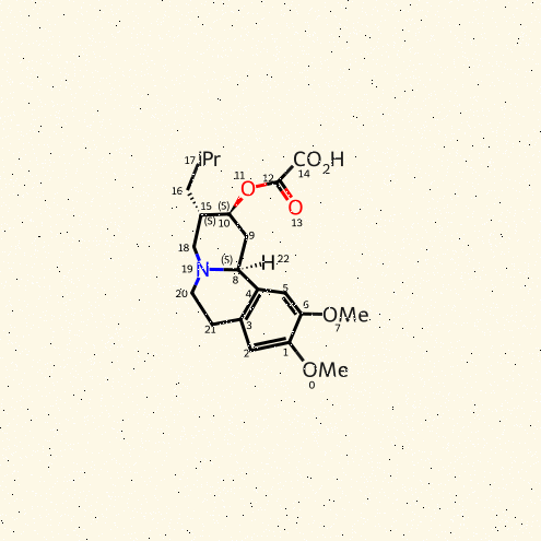 COc1cc2c(cc1OC)[C@@H]1C[C@H](OC(=O)C(=O)O)[C@@H](CC(C)C)CN1CC2